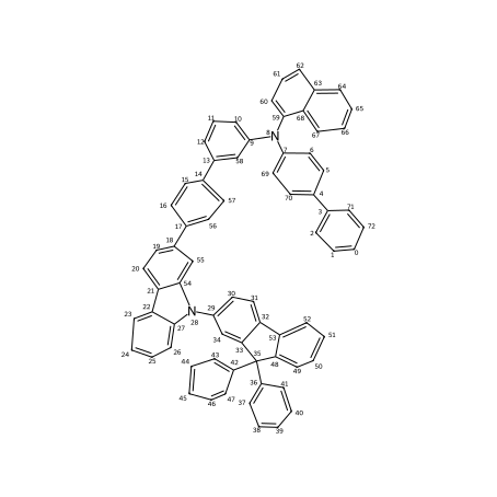 c1ccc(-c2ccc(N(c3cccc(-c4ccc(-c5ccc6c7ccccc7n(-c7ccc8c(c7)C(c7ccccc7)(c7ccccc7)c7ccccc7-8)c6c5)cc4)c3)c3cccc4ccccc34)cc2)cc1